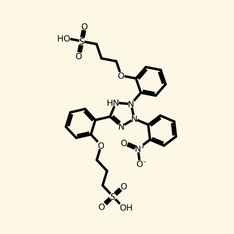 O=[N+]([O-])c1ccccc1N1N=C(c2ccccc2OCCCS(=O)(=O)O)NN1c1ccccc1OCCCS(=O)(=O)O